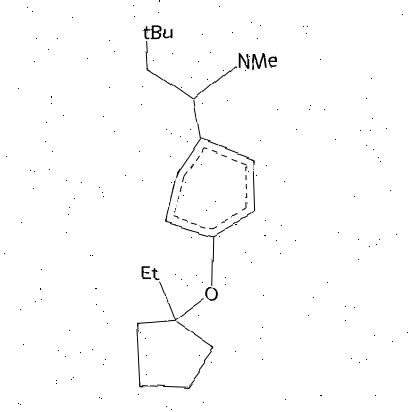 CCC1(Oc2ccc(C(CC(C)(C)C)NC)cc2)CCCC1